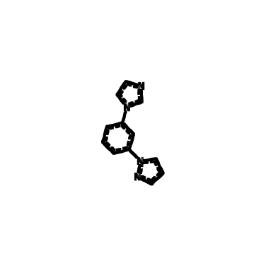 c1cc(-n2ccnc2)cc(-n2cccn2)c1